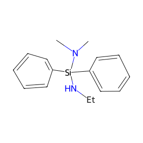 CCN[Si](c1ccccc1)(c1ccccc1)N(C)C